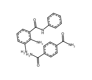 NC(=O)c1ccc(C(N)=O)cc1.Nc1cccc(C(=O)Nc2ccccc2)c1N